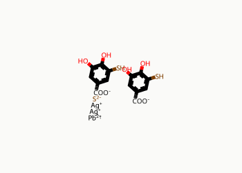 O=C([O-])c1cc(O)c(O)c(S)c1.O=C([O-])c1cc(O)c(O)c(S)c1.[Ag+].[Ag+].[Pb+2].[S-2]